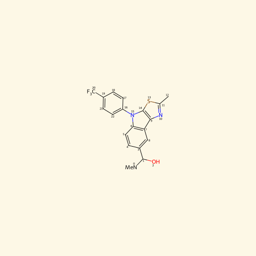 CNC(O)c1ccc2c(c1)c1nc(C)sc1n2-c1ccc(C(F)(F)F)cc1